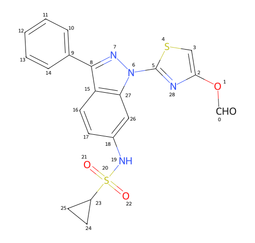 O=COc1csc(-n2nc(-c3ccccc3)c3ccc(NS(=O)(=O)C4CC4)cc32)n1